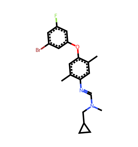 Cc1cc(Oc2cc(F)cc(Br)c2)c(C)cc1N=CN(C)CC1CC1